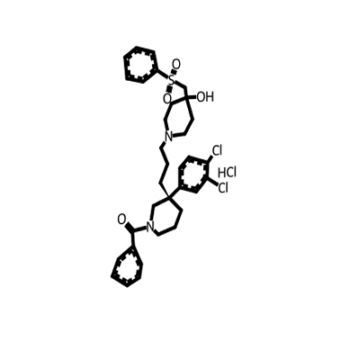 Cl.O=C(c1ccccc1)N1CCC[C@@](CCCN2CCC(O)(CS(=O)(=O)c3ccccc3)CC2)(c2ccc(Cl)c(Cl)c2)C1